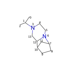 CC(C)N1CCN2C3CCC(C3)C2C1